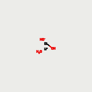 O.[CH2]CO.[Li+].[OH-]